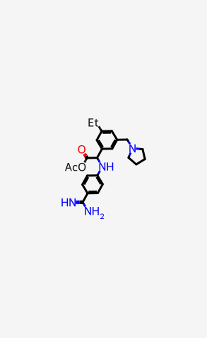 CCc1cc(CN2CCCC2)cc(C(Nc2ccc(C(=N)N)cc2)C(=O)OC(C)=O)c1